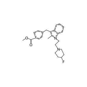 COC(=O)c1ccc(Cc2c(C)n(CCN3CCC(F)CC3)c3ccccc23)cc1